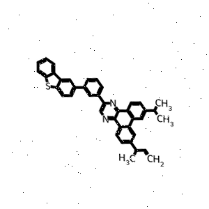 C=CC(C)c1ccc2c(c1)c1cc(C(C)C)ccc1c1nc(-c3cccc(-c4ccc5sc6ccccc6c5c4)c3)cnc21